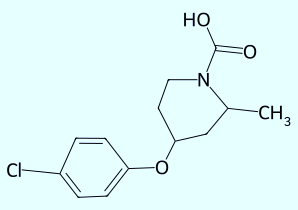 CC1CC(Oc2ccc(Cl)cc2)CCN1C(=O)O